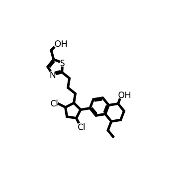 CCC1CCC(O)c2ccc(C3C(Cl)CC(Cl)C3CCCc3ncc(CO)s3)cc21